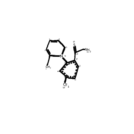 CC1=CC=CCN1c1cc(C(F)(F)F)ccc1C(N)=S